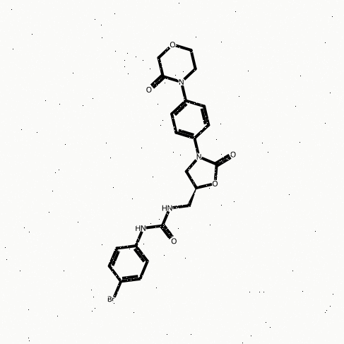 O=C(NC[C@H]1CN(c2ccc(N3CCOCC3=O)cc2)C(=O)O1)Nc1ccc(Br)cc1